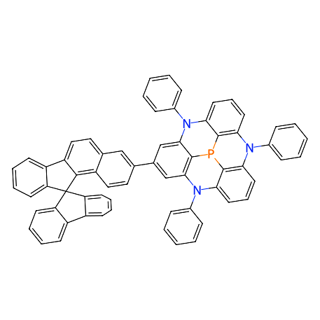 c1ccc(N2c3cccc4c3P3c5c2cccc5N(c2ccccc2)c2cc(-c5ccc6c7c(ccc6c5)-c5ccccc5C75c6ccccc6-c6ccccc65)cc(c23)N4c2ccccc2)cc1